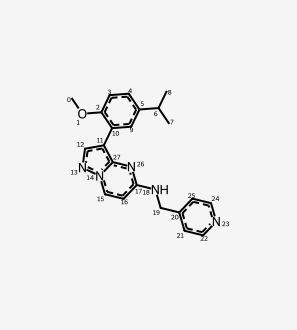 COc1ccc(C(C)C)cc1-c1cnn2ccc(NCc3ccncc3)nc12